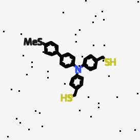 CSc1ccc(-c2ccc(N(c3ccc(CS)cc3)c3ccc(CS)cc3)cc2)cc1